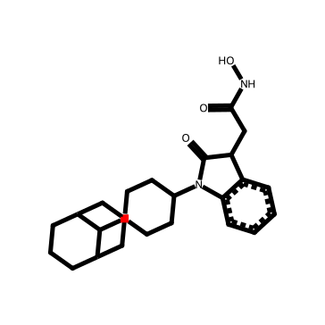 O=C(CC1C(=O)N(C2CCN(C3C4CCCC3CCC4)CC2)c2ccccc21)NO